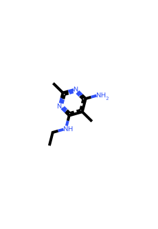 CCNc1nc(C)nc(N)c1C